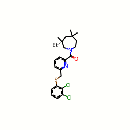 CC[C@@]1(C)CN(C(=O)c2cccc(CSc3cccc(Cl)c3Cl)n2)CCC(C)(C)C1